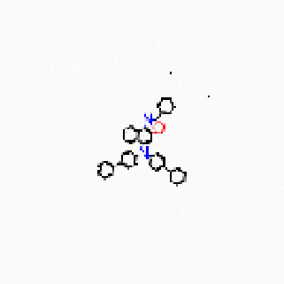 c1ccc(-c2ccc(N(c3ccc(-c4ccccc4)cc3)c3cc4oc(-c5ccccc5)nc4c4ccccc34)cc2)cc1